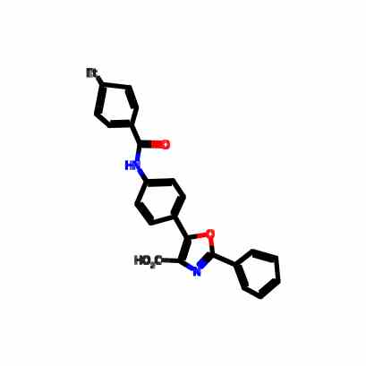 CCc1ccc(C(=O)Nc2ccc(-c3oc(-c4ccccc4)nc3C(=O)O)cc2)cc1